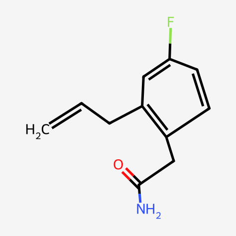 C=CCc1cc(F)ccc1CC(N)=O